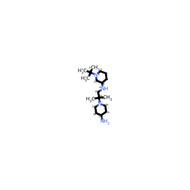 CC(C)(C)N1CCCC(NCC(C)(C)N2CCC(N)CC2)C1